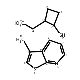 Cc1csc2ncccc12.O=C(O)CC1CCC1S